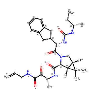 C=CCNC(=O)C(=O)C(CCC)NC(=O)[C@@H]1[C@@H]2[C@H](CN1C(=O)[C@@H](NC(=O)N[C@H](COC)C(C)(C)C)C1Cc3ccccc3C1)C2(C)C